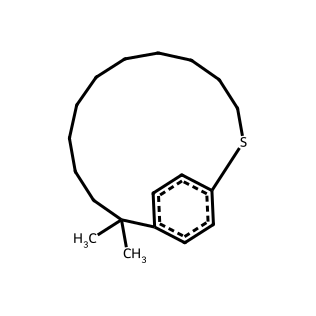 CC1(C)CCCCCCCCCCSc2ccc1cc2